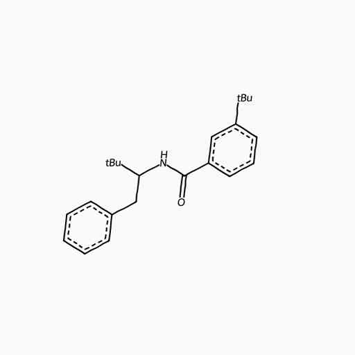 CC(C)(C)c1cccc(C(=O)NC(Cc2ccccc2)C(C)(C)C)c1